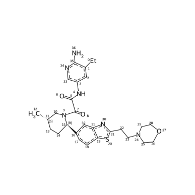 CCc1cc(NC(=O)C(=O)N2C[C@@H](C)CC[C@@H]2c2ccc3sc(CCN4CCOCC4)nc3c2)cnc1N